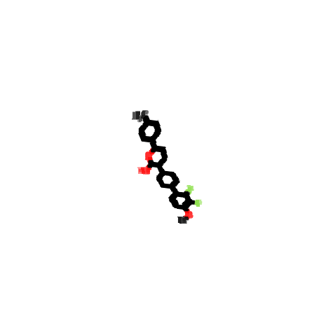 CCOc1ccc(C2CCC(C3CCC(C4CCC(C)CC4)OC3O)CC2)c(F)c1F